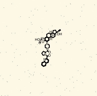 C#C[C@]1(O)CC[C@H]2[C@@H]3CCc4cc(OP(=O)(O)O)c(N5CCN(C(=O)[C@@H]6CCCN6C(=O)c6ccc7ccccc7n6)CC5)cc4[C@H]3CC[C@@]21C